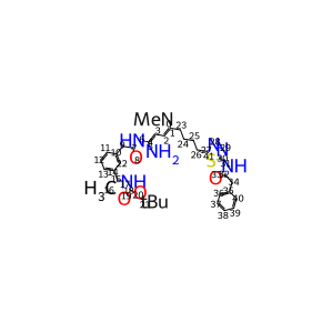 CN/C(=C\C=C(/N)NC(=O)Cc1cccc(C(C)NC(=O)OC(C)(C)C)c1)CCCCc1nnc(NC(=O)Cc2ccccc2)s1